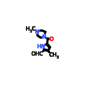 Cc1cc(C(=O)N2CCN(C)CC2)[nH]c1C=O